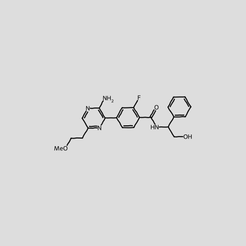 COCCc1cnc(N)c(-c2ccc(C(=O)NC(CO)c3ccccc3)c(F)c2)n1